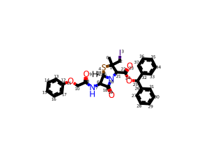 CC1(CI)S[C@@H]2C(NC(=O)COc3ccccc3)C(=O)N2C1C(=O)OC(c1ccccc1)c1ccccc1